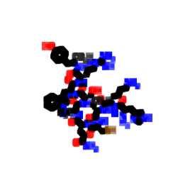 C[C@H](NC(=O)[C@H](CCC(N)=O)NC(=O)[C@H](CS)NC(=O)[C@H](CC(=O)O)NC(=O)[C@H](CCCCN)NC(=O)[C@@H](N)Cc1c[nH]cn1)C(=O)N[C@@H](CO)C(=O)N[C@@H](Cc1c[nH]c2ccccc12)C(=O)N[C@@H](CCCNC(=N)N)C(=O)N[C@@H](Cc1ccc(O)cc1)C(=O)O